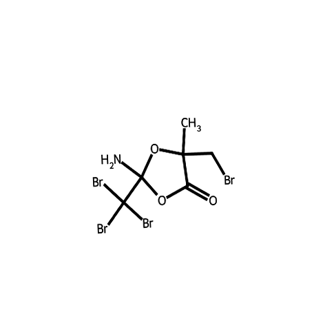 CC1(CBr)OC(N)(C(Br)(Br)Br)OC1=O